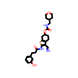 N=Cc1c(NC(=O)CCc2cccc(O)c2)sc2c1CCC(OC(=O)NCC1CCOCC1)C2